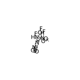 CC(C)(C)OC(=O)N[C@H]1C[C@@H](N2Cc3cn(S(C)(=O)=O)nc3C2)CNC1c1cc(F)c(F)cc1F